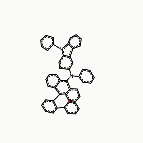 c1ccc(-c2ccccc2-c2c3ccccc3c(N(c3ccccc3)c3ccc4c(c3)c3ccccc3n4-c3ccccc3)c3ccccc23)cc1